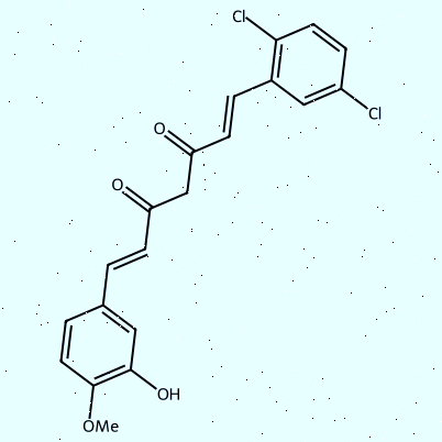 COc1ccc(C=CC(=O)CC(=O)C=Cc2cc(Cl)ccc2Cl)cc1O